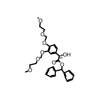 COCCOCOc1ccc([C@@H](O)C(=O)OC(c2ccccc2)c2ccccc2)cc1OCOCCOC